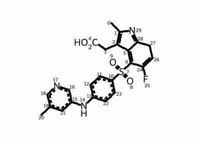 CC1=C(CC(=O)O)C2=C(S(=O)(=O)c3ccc(Nc4cncc(C)c4)cc3)C(F)=CCC2=N1